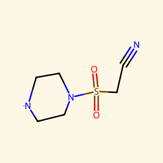 N#CCS(=O)(=O)N1CC[N]CC1